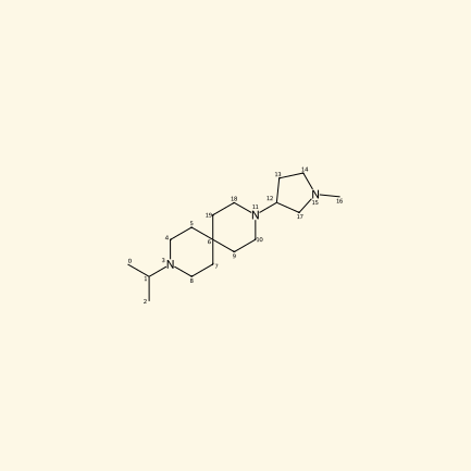 CC(C)N1CCC2(CC1)CCN(C1CCN(C)C1)CC2